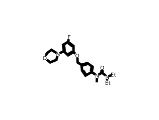 CCN(CC)C(=O)N(C)c1ccc(COc2cc(F)cc(N3CCOCC3)c2)cc1